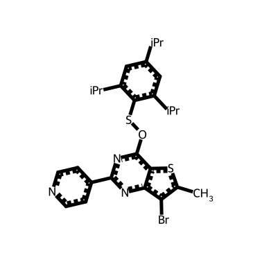 Cc1sc2c(OSc3c(C(C)C)cc(C(C)C)cc3C(C)C)nc(-c3ccncc3)nc2c1Br